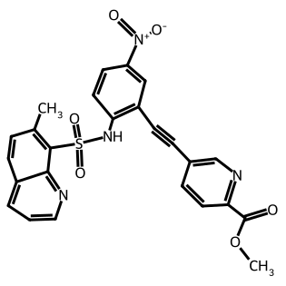 COC(=O)c1ccc(C#Cc2cc([N+](=O)[O-])ccc2NS(=O)(=O)c2c(C)ccc3cccnc23)cn1